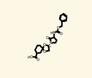 O=C(NC1CCN([C@@H]2COC3(CCCC(C(=O)O)C3)O2)C1=O)OCc1ccccc1